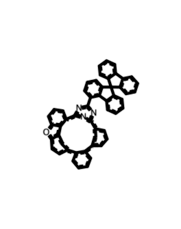 c1ccc2c(c1)-c1ccccc1C21c2ccccc2-c2c(-c3nc4nc(n3)c3cccc5oc6ccc(cc6c53)c3ccccc3c3cccc4c3)cccc21